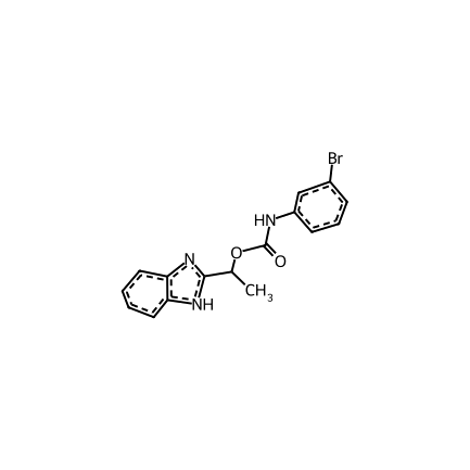 CC(OC(=O)Nc1cccc(Br)c1)c1nc2ccccc2[nH]1